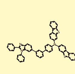 c1ccc(-c2nc3ccc(-c4cccc(-c5ccc(N(c6ccc7c(c6)sc6ccccc67)c6ccc7c(c6)sc6ccccc67)cc5)c4)cc3n2-c2ccccc2)cc1